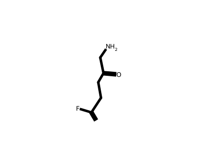 C=C(F)CCC(=O)CN